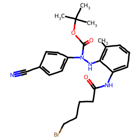 Cc1cccc(NC(=O)CCCCBr)c1NN(C(=O)OC(C)(C)C)c1ccc(C#N)cc1